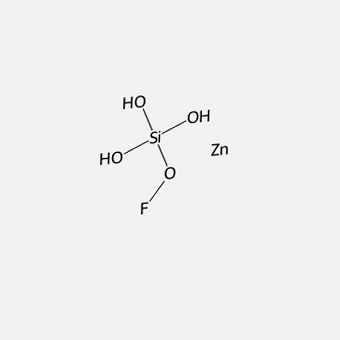 O[Si](O)(O)OF.[Zn]